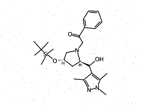 Cc1nn(C)c(C)c1C(O)[C@H]1C[C@H](O[Si](C)(C)C(C)(C)C)CN1CC(=O)c1ccccc1